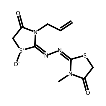 C=CCN1C(=O)C[S+]([O-])/C1=N/N=C1/SCC(=O)N1C